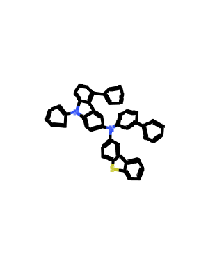 c1ccc(-c2cccc(N(c3ccc4sc5ccccc5c4c3)c3ccc4c(c3)c3c(-c5ccccc5)cccc3n4-c3ccccc3)c2)cc1